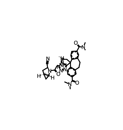 C[C@H](CC1(c2nnn[nH]2)c2ccc(C(=O)N(C)C)cc2CCc2cc(C(=O)N(C)C)ccc21)NCC(=O)N1C(C#N)C[C@@H]2C[C@@H]21